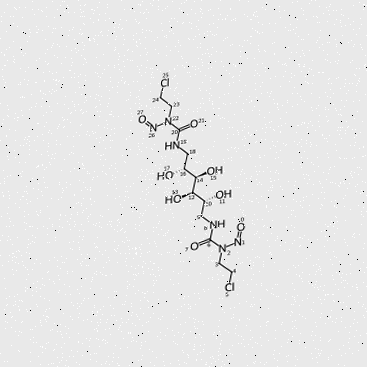 O=NN(CCCl)C(=O)NC[C@@H](O)[C@@H](O)[C@H](O)[C@H](O)CNC(=O)N(CCCl)N=O